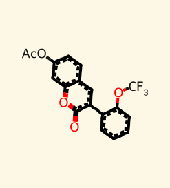 CC(=O)Oc1ccc2cc(-c3ccccc3OC(F)(F)F)c(=O)oc2c1